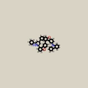 C1=C(c2ccccc2)C=C(c2ccccc2)NC1c1cccc2oc3ccc(-c4cccc5oc6ccc(-n7c8ccccc8c8ccccc87)cc6c45)cc3c12